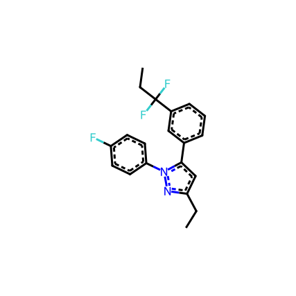 CCc1cc(-c2cccc(C(F)(F)CC)c2)n(-c2ccc(F)cc2)n1